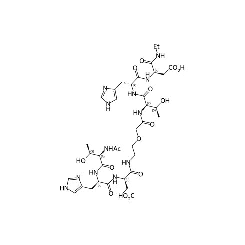 CCNC(=O)[C@@H](CC(=O)O)NC(=O)[C@@H](Cc1c[nH]cn1)NC(=O)[C@H](NC(=O)COCCNC(=O)[C@@H](CC(=O)O)NC(=O)[C@@H](Cc1c[nH]cn1)NC(=O)[C@H](NC(C)=O)[C@H](C)O)[C@H](C)O